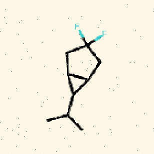 CC(C)C1C2CC(F)(F)CC21